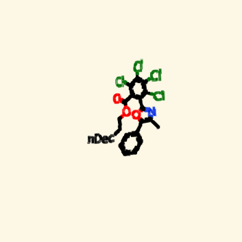 CCCCCCCCCCCCOC(=O)c1c(Cl)c(Cl)c(Cl)c(Cl)c1-c1nc(C)c(-c2ccccc2)o1